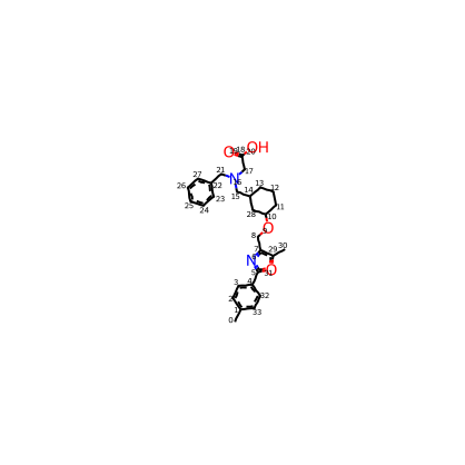 Cc1ccc(-c2nc(COC3CCCC(CN(CC(=O)O)Cc4ccccc4)C3)c(C)o2)cc1